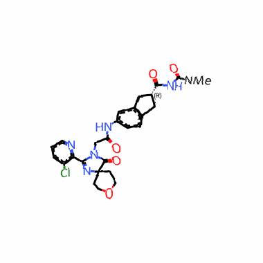 CNC(=O)NC(=O)[C@@H]1Cc2ccc(NC(=O)CN3C(=O)C4(CCOCC4)N=C3c3ncccc3Cl)cc2C1